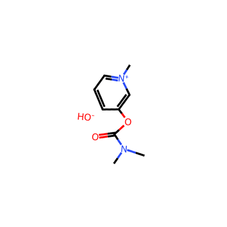 CN(C)C(=O)Oc1ccc[n+](C)c1.[OH-]